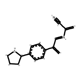 C=C(C#N)/N=C/C(=C)c1ccc(C2CCCS2)cc1